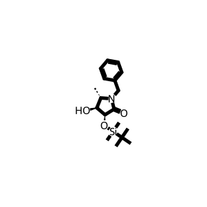 C[C@H]1[C@H](O)[C@@H](O[Si](C)(C)C(C)(C)C)C(=O)N1Cc1ccccc1